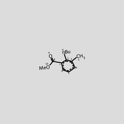 CCCCc1c(C)cccc1C(=O)OC